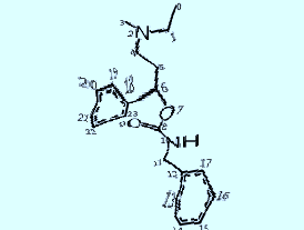 CCN(C)CCC(OC(=O)NCc1ccccc1)c1ccccc1